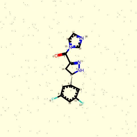 O=C(C1=NN[C@H](c2cc(F)cc(F)c2)C1)n1ccnc1